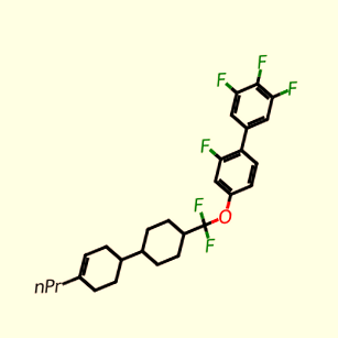 CCCC1=CCC(C2CCC(C(F)(F)Oc3ccc(-c4cc(F)c(F)c(F)c4)c(F)c3)CC2)CC1